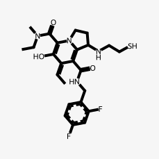 C/C=C1/C(O)=C(C(=O)N(C)CC)N2CCC(NCCS)C2=C1C(=O)NCc1ccc(F)cc1F